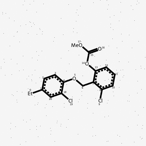 CCc1ccc(OCc2c(Cl)cccc2OC(=O)OC)c(Cl)c1